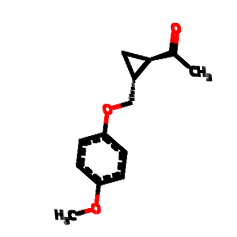 COc1ccc(OC[C@@H]2C[C@H]2C(C)=O)cc1